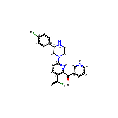 C=C(F)c1ccc(N2CCNC(c3ccc(F)cc3)C2)nc1C(=O)c1cccnc1